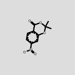 CC1(C)OC(=O)c2ccc([N+](=O)[O-])cc2O1